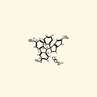 CC(C)(C)C1=CC2=C(CCC2(c2ccccc2)C2c3ccc(C(C)(C)C)cc3-c3cc(C(C)(C)C)ccc32)C1.[Cl-].[Cl-].[Zr+2]